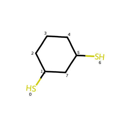 S[C]1CCCC(S)C1